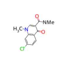 CNC(=O)c1cn(C)c2cc(Cl)ccc2c1=O